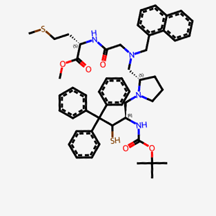 COC(=O)[C@H](CCSC)NC(=O)CN(Cc1cccc2ccccc12)C[C@@H]1CCCN1C[C@@H](NC(=O)OC(C)(C)C)C(S)C(c1ccccc1)(c1ccccc1)c1ccccc1